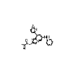 CNC(=O)Cc1cn2cc(Nc3ccccc3)cc(-c3ccn(C)n3)c2n1